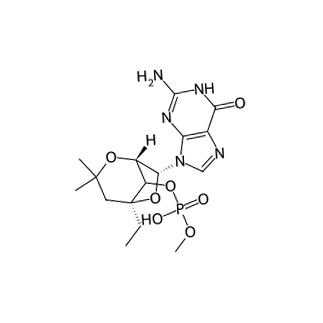 CC[C@]12CC(C)(C)O[C@@H](C1OP(=O)(O)OC)[C@H](n1cnc3c(=O)[nH]c(N)nc31)O2